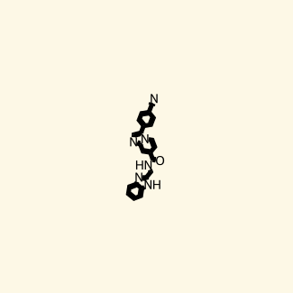 N#Cc1ccc(-c2cnc3cc(C(=O)NCc4nc5ccccc5[nH]4)ccn23)cc1